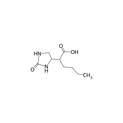 CCCCC(C(=O)O)C1CNC(=O)N1